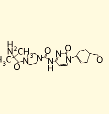 CC(C)(N)C(=O)N1CCN(C(=O)Nc2ccn(C3=CCC(C=O)CC3)c(=O)n2)CC1